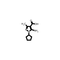 Cc1nn(C2CCCC2)c(N)c1C(=O)O